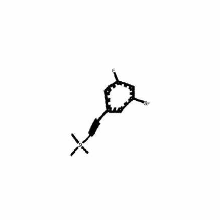 C[Si](C)(C)C#Cc1cc(F)cc(Br)c1